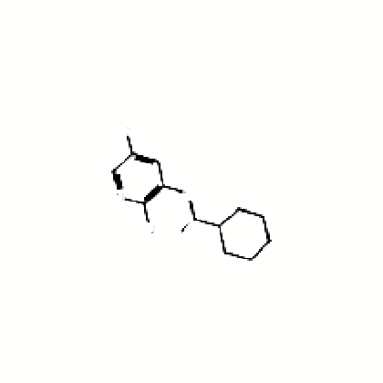 C[C@@H](Sc1cc(Br)cnc1[N+](=O)[O-])C1CCCCC1